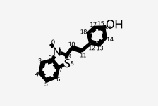 CN1c2ccccc2SC1/C=C/c1ccc(O)cc1